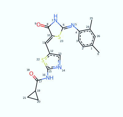 Cc1ccc(/N=C2/NC(=O)/C(=C/c3cnc(NC(=O)C4CC4)s3)S2)c(C)c1